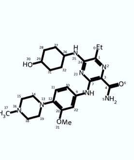 CCc1nc(C(N)=O)c(Nc2ccc(N3CCN(C)CC3)c(OC)c2)nc1NC1CCC(O)CC1